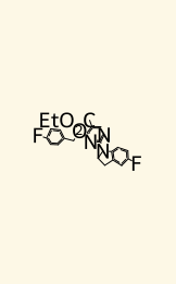 CCOC(=O)c1cnc(N2CCc3cc(F)ccc32)nc1OCc1ccc(F)cc1